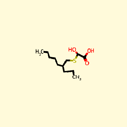 CCCCCC(CCC)CSC(O)C(=O)O